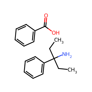 CCC(N)(CC)c1ccccc1.O=C(O)c1ccccc1